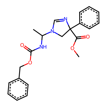 COC(=O)C1(c2ccccc2)CN(C(C)NC(=O)OCc2ccccc2)C=N1